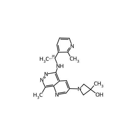 Cc1ncccc1[C@@H](C)Nc1nnc(C)c2ncc(N3CC(C)(O)C3)cc12